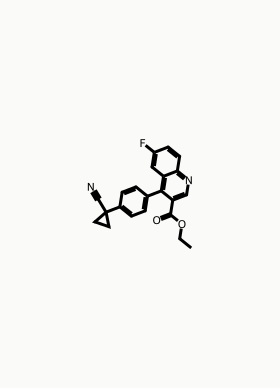 CCOC(=O)c1cnc2ccc(F)cc2c1-c1ccc(C2(C#N)CC2)cc1